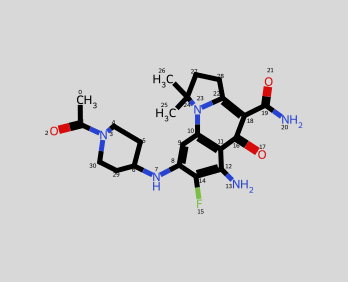 CC(=O)N1CCC(Nc2cc3c(c(N)c2F)c(=O)c(C(N)=O)c2n3C(C)(C)CC2)CC1